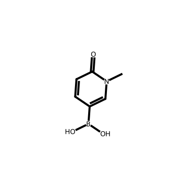 Cn1cc(B(O)O)ccc1=O